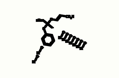 [CH2]C(CCCCCCCCC)(OC=CC(=O)O)Oc1ccccc1.[CH2]C[O].[CH2]C[O].[CH2]C[O].[CH2]C[O].[CH2]C[O].[CH2]C[O].[CH2]C[O].[CH2]C[O].[CH2]C[O]